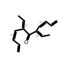 C=C/C=C\C(=C/C)C(=O)C(/C=C\C=C)=C/C